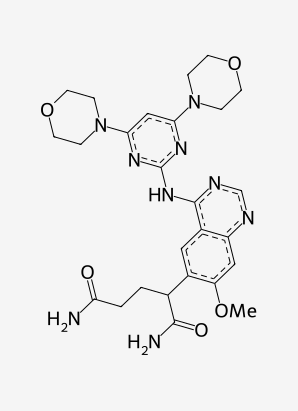 COc1cc2ncnc(Nc3nc(N4CCOCC4)cc(N4CCOCC4)n3)c2cc1C(CCC(N)=O)C(N)=O